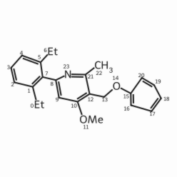 CCc1cccc(CC)c1-c1cc(OC)c(COc2ccccc2)c(C)n1